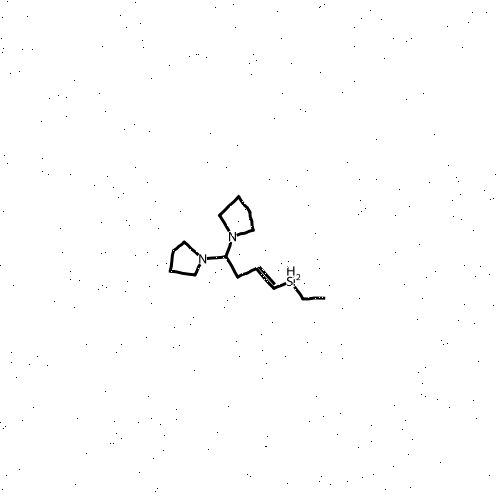 CC[SiH2]C=CCC(N1CCCC1)N1CCCC1